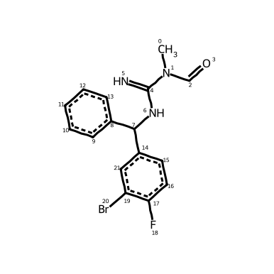 CN(C=O)C(=N)NC(c1ccccc1)c1ccc(F)c(Br)c1